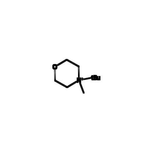 CC(C)(C)[N+]1(C)CCOCC1